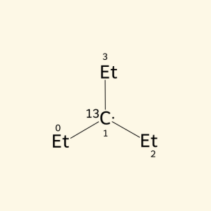 CC[13C](CC)CC